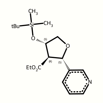 CCOC(=O)[C@@H]1[C@@H](c2cccnc2)OC[C@H]1O[Si](C)(C)C(C)(C)C